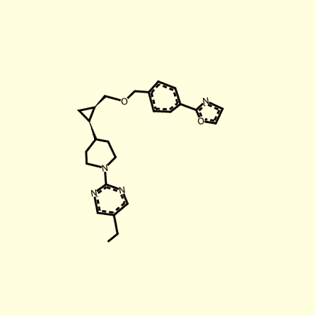 CCc1cnc(N2CCC([C@H]3C[C@H]3COCc3ccc(-c4ncco4)cc3)CC2)nc1